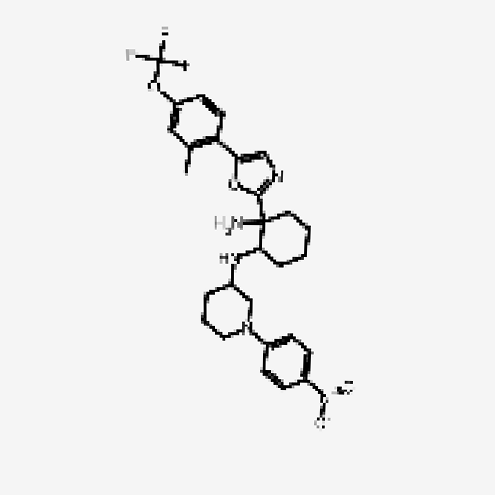 Cc1cc(OC(F)(F)F)ccc1-c1cnc(C2(N)CCCCC2NC2CCCN(c3ccc([N+](=O)[O-])cc3)C2)o1